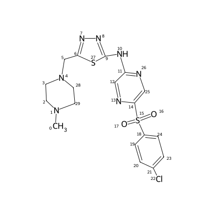 CN1CCN(Cc2nnc(Nc3cnc(S(=O)(=O)c4ccc(Cl)cc4)cn3)s2)CC1